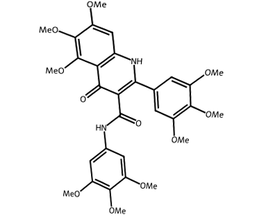 COc1cc(NC(=O)c2c(-c3cc(OC)c(OC)c(OC)c3)[nH]c3cc(OC)c(OC)c(OC)c3c2=O)cc(OC)c1OC